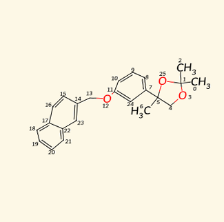 CC1(C)OCC(C)(c2cccc(OCc3ccc4ccccc4c3)c2)O1